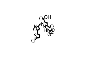 CS(=O)(=O)NC(=O)c1cc(C(=O)O)n(Cc2cc(-c3ccc(Cl)s3)on2)n1